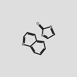 O=C1N=CC=N1.c1ccc2ncccc2c1